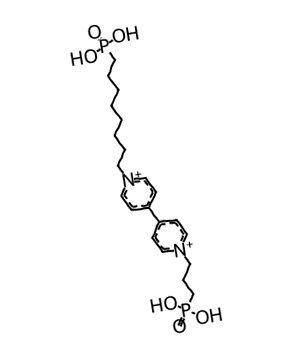 O=P(O)(O)CCCCCCCC[n+]1ccc(-c2cc[n+](CCCP(=O)(O)O)cc2)cc1